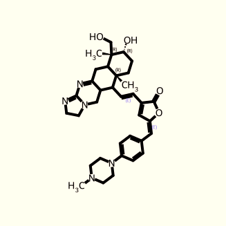 CN1CCN(c2ccc(/C=C3C=C(/C=C/C4C5CN6CCN=C6N=C5CC5[C@]4(C)CC[C@@H](O)[C@@]5(C)CO)C(=O)O\3)cc2)CC1